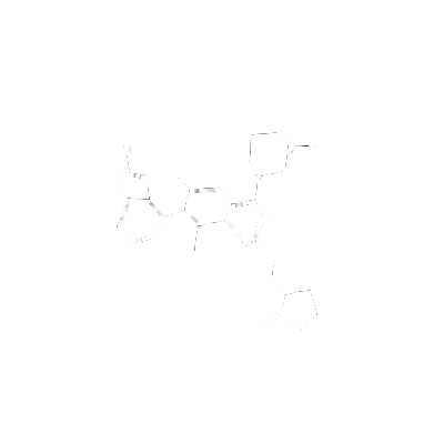 CN1CCCC1COc1nc(N2C[C@H](N)C[C@@H](F)C2)c2cc(Cl)c(-c3cccc4sc(N)nc34)c(F)c2n1